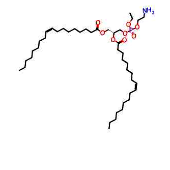 CCCCCCCC/C=C\CCCCCCCC(=O)OC[C@H](COP(=O)(OCC)OCCN)OC(=O)CCCCCCC/C=C\CCCCCCCC